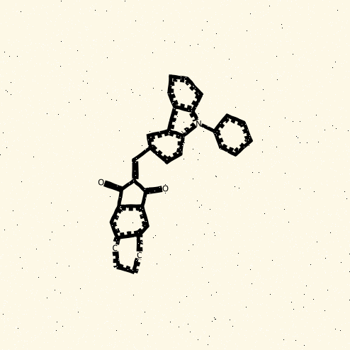 O=C1C(=Cc2ccc3c(c2)c2ccccc2n3-c2ccccc2)C(=O)c2cc3ccccc3cc21